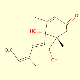 CC1=CC(=O)C[C@](C)(CO)[C@@]1(O)/C=C/C(C)=C\C(=O)O